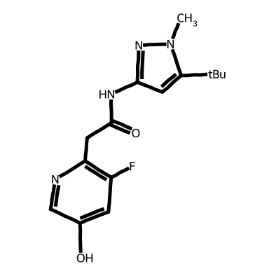 Cn1nc(NC(=O)Cc2ncc(O)cc2F)cc1C(C)(C)C